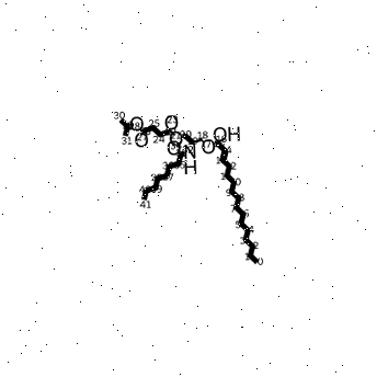 CCCCCCCCCCCCC/C=C/[C@@H](O)OC[C@H](COC(=O)CCC(=O)OC(C)C)NC(=O)CCCCCCC